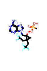 CP(=O)(O)OOC1(Cn2cnc3c(N)ncnc32)CC1(CC(F)(F)F)CC(F)(F)F